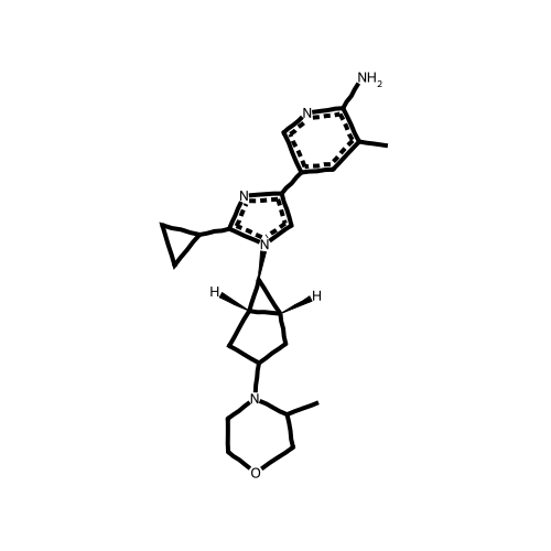 Cc1cc(-c2cn([C@H]3[C@@H]4CC(N5CCOCC5C)C[C@@H]43)c(C3CC3)n2)cnc1N